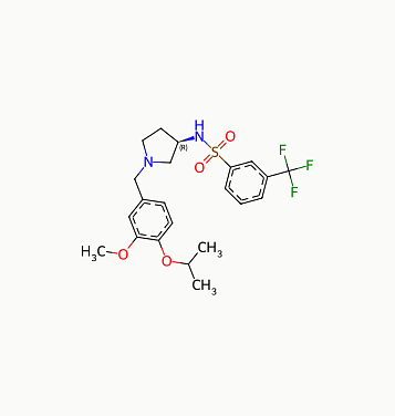 COc1cc(CN2CC[C@@H](NS(=O)(=O)c3cccc(C(F)(F)F)c3)C2)ccc1OC(C)C